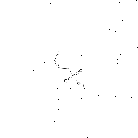 CS(=O)(=O)C/C=C\Cl